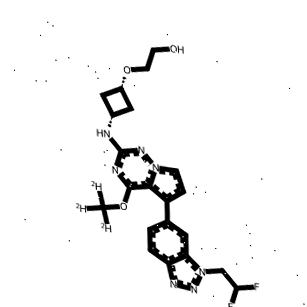 [2H]C([2H])([2H])Oc1nc(N[C@H]2C[C@@H](OCCO)C2)nn2ccc(-c3ccc4nnn(CC(F)F)c4c3)c12